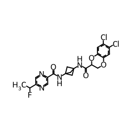 CC(F)c1cnc(C(=O)NC23CC(NC(=O)C4COc5cc(Cl)c(Cl)cc5O4)(C2)C3)cn1